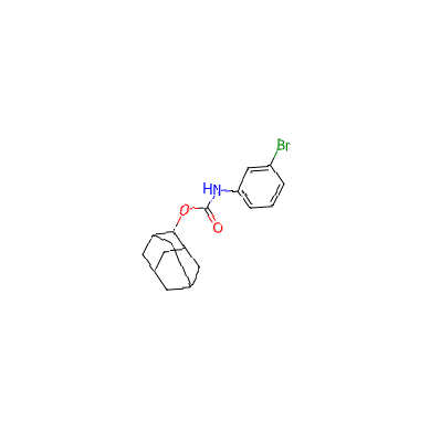 O=C(Nc1cccc(Br)c1)OC1C2CC3CC(C2)CC1C3